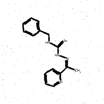 CC(=NNC(=[Se])NCc1ccccc1)c1ccccn1